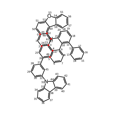 c1ccc(-c2ccccc2-c2c(-c3ccccc3)cccc2N(c2ccc(-c3cccc(-n4c5ccccc5c5ccccc54)c3)cc2)c2cccc3oc4ccccc4c23)cc1